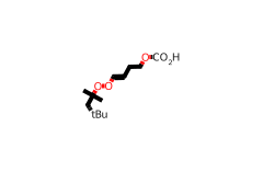 CC(C)(C)CC(C)(C)OOC=CCCOC(=O)O